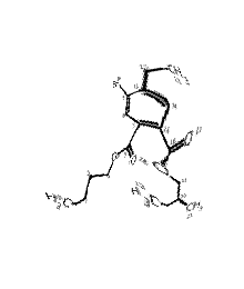 CCCCOC(=O)c1cc(Br)c(CC)cc1C(=O)OCC(C)C